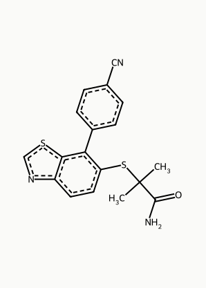 CC(C)(Sc1ccc2ncsc2c1-c1ccc(C#N)cc1)C(N)=O